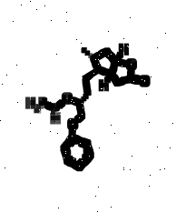 C[C@@H]1C[C@@H]2OC(=O)C[C@@H]2[C@H]1CC[C@H](COc1ccccc1)OPP